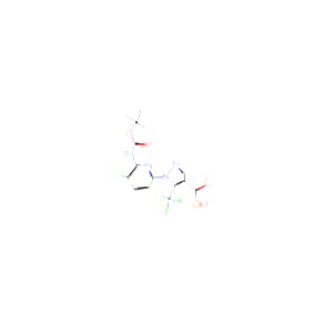 CC(C)(C)OC(=O)Nc1nc(-n2ncc(C(=O)O)c2C(F)(F)F)ccc1F